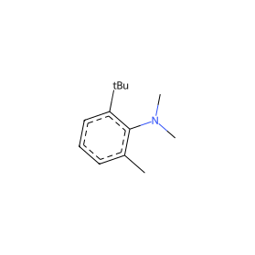 Cc1cccc(C(C)(C)C)c1N(C)C